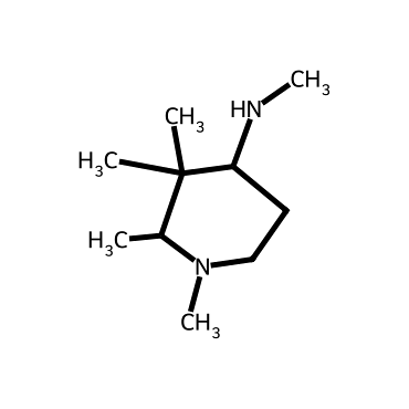 CNC1CCN(C)C(C)C1(C)C